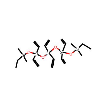 C=C[Si](C=C)(O[Si](C)(C)CC)O[Si](C=C)(C=C)O[Si](C=C)(C=C)O[Si](C)(C)CC